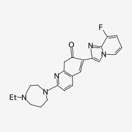 CCN1CCCN(c2ccc3c(n2)CC(=O)C(c2cn4cccc(F)c4n2)=C3)CC1